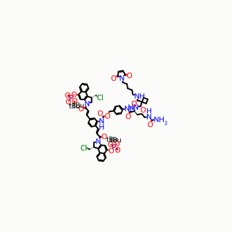 CC(C)(C)OP(=O)(Oc1cc2c(c3ccccc13)[C@H](CCl)CN2C(=O)/C=C/c1ccc(/C=C/C(=O)N2C[C@@H](CCl)c3c2cc(OP(=O)(OC(C)(C)C)OC(C)(C)C)c2ccccc32)c(NC(=O)OCc2ccc(NC(=O)[C@H](CCCNC(N)=O)NC(=O)C3(C(=O)NCCCCCN4C(=O)C=CC4=O)CCC3)cc2)c1)OC(C)(C)C